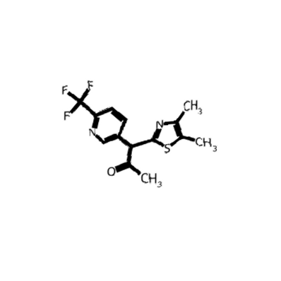 CC(=O)C(c1ccc(C(F)(F)F)nc1)c1nc(C)c(C)s1